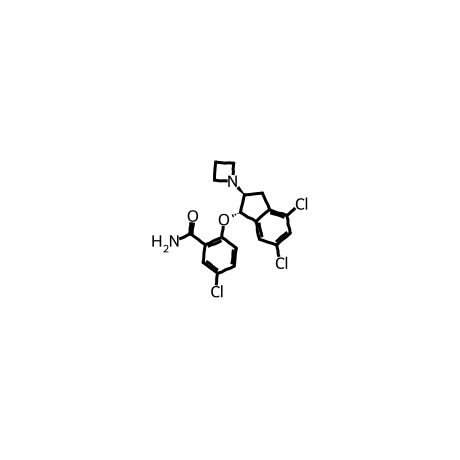 NC(=O)c1cc(Cl)ccc1O[C@H]1c2cc(Cl)cc(Cl)c2C[C@@H]1N1CCC1